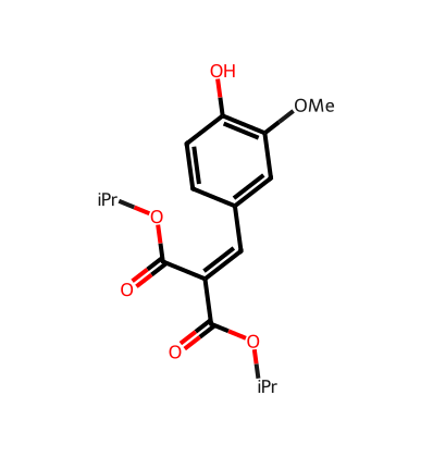 COc1cc(C=C(C(=O)OC(C)C)C(=O)OC(C)C)ccc1O